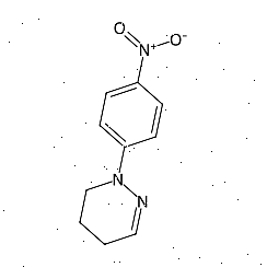 O=[N+]([O-])c1ccc(N2CCCC=N2)cc1